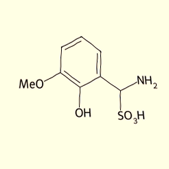 COc1cccc(C(N)S(=O)(=O)O)c1O